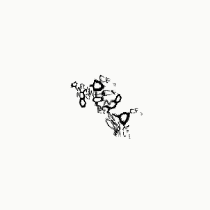 CCN(CC1CCCC1)c1nc2ccccc2cc1CN(Cc1cc(C(F)(F)F)cc(C(F)(F)F)c1)C(=O)NC1CCC(CN(CC)c2nc3ccccc3cc2CN(Cc2cc(C(F)(F)F)cc(C(F)(F)F)c2)c2nnc(C)o2)C1